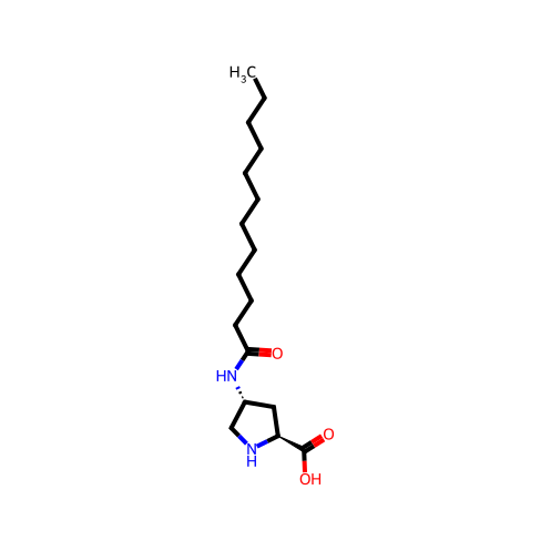 CCCCCCCCCCCC(=O)N[C@H]1CN[C@H](C(=O)O)C1